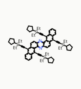 CC[Si](C#Cc1c2ccccc2c(C#C[Si](CC)(CC)C2CCCC2)c2c1ccc1nc3c(ccc4c(C#C[Si](CC)(CC)C5CCCC5)c5ccccc5c(C#C[Si](CC)(CC)C5CCCC5)c43)nc12)(CC)C1CCCC1